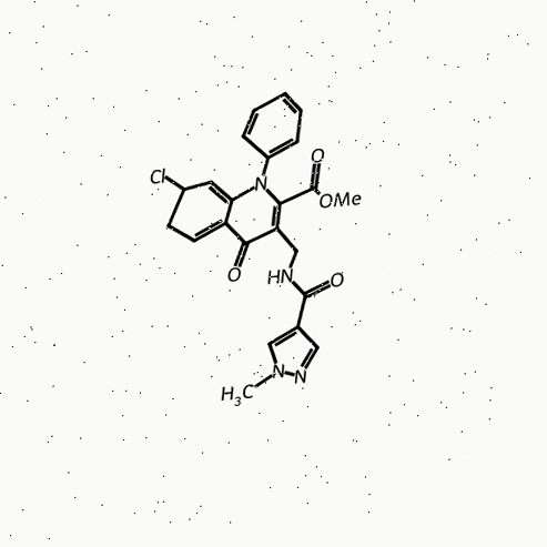 COC(=O)c1c(CNC(=O)c2cnn(C)c2)c(=O)c2c(n1-c1ccccc1)=CC(Cl)CC=2